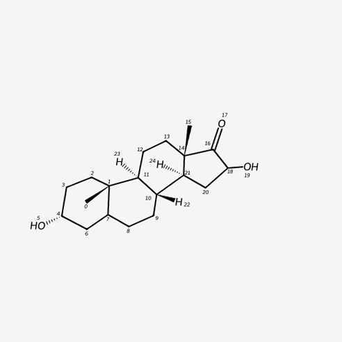 C[C@]12CC[C@@H](O)CC1CC[C@@H]1[C@@H]2CC[C@]2(C)C(=O)C(O)C[C@@H]12